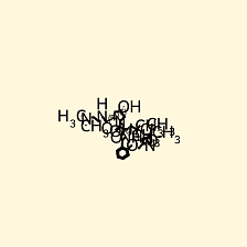 CC(C)C[C@@H](NC(=O)c1ccccc1OCc1cc(C(C)(C)C)on1)C(=O)N1C[C@@H](O)C[C@@H]1C(=O)NCCN(C)C